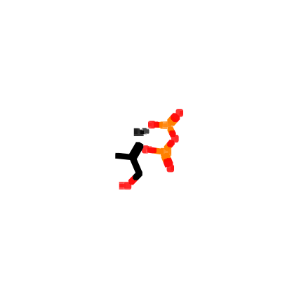 C=C(C)CO.O=[PH]([O-])O[PH](=O)[O-].[Be+2]